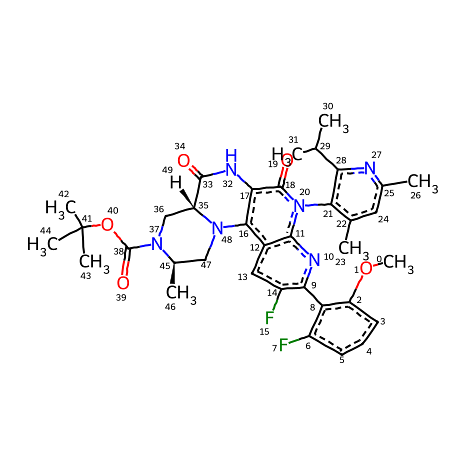 COc1cccc(F)c1-c1nc2c(cc1F)c1c(c(=O)n2-c2c(C)cc(C)nc2C(C)C)NC(=O)[C@H]2CN(C(=O)OC(C)(C)C)[C@H](C)CN12